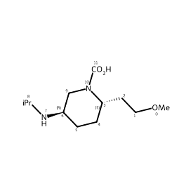 COCC[C@@H]1CC[C@@H](NC(C)C)CN1C(=O)O